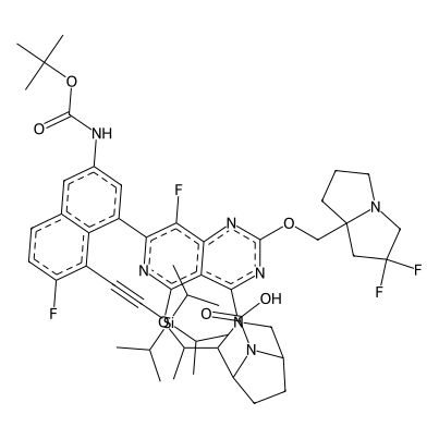 CC1Oc2nc(-c3cc(NC(=O)OC(C)(C)C)cc4ccc(F)c(C#C[Si](C(C)C)(C(C)C)C(C)C)c34)c(F)c3nc(OCC45CCCN4CC(F)(F)C5)nc(c23)N2CC3CCC(C12)N3C(=O)O